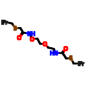 CC(C)CSCC(=O)NCCOCCONC(=O)CSCC(C)C